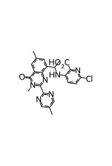 Cc1cnc(-c2nc3c(C(C)Nc4ccc(Cl)nc4C(=O)O)cc(C)cc3c(=O)n2C)nc1